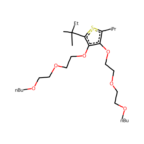 CCCCOCCOCCOc1c(C(C)C)sc(C(C)(C)CC)c1OCCOCCOCCCC